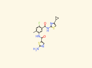 Cc1cc(F)c(C(=O)Nc2nc(C3CC3)cs2)cc1NC(=O)c1cnc(N)s1